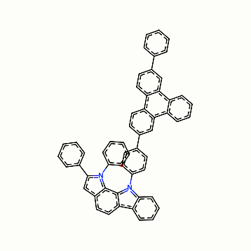 c1ccc(-c2ccc3c4ccc(-c5ccc(-n6c7ccccc7c7ccc8cc(-c9ccccc9)n(-c9ccccc9)c8c76)cc5)cc4c4ccccc4c3c2)cc1